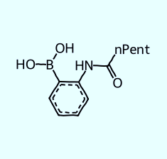 CCCCCC(=O)Nc1ccccc1B(O)O